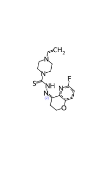 C=CN1CCN(C(=S)N/N=C2/CCOc3ccc(F)nc32)CC1